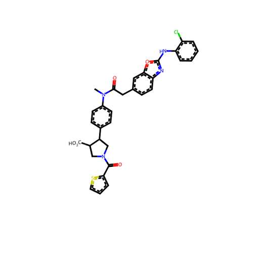 CN(C(=O)Cc1ccc2nc(Nc3ccccc3Cl)oc2c1)c1ccc(C2CN(C(=O)c3cccs3)CC2C(=O)O)cc1